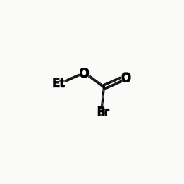 CCOC(=O)Br